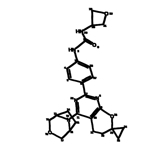 O=C(Nc1ccc(-c2nc3c(c(N4C5CCC4COC5)n2)CCC2(CC2)O3)cc1)NC1COC1